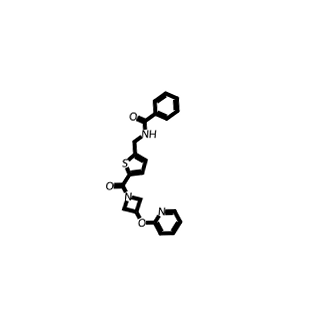 O=C(NCc1ccc(C(=O)N2CC(Oc3ccccn3)C2)s1)c1ccccc1